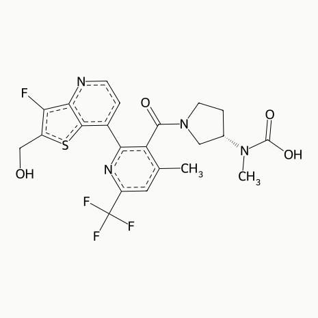 Cc1cc(C(F)(F)F)nc(-c2ccnc3c(F)c(CO)sc23)c1C(=O)N1CC[C@H](N(C)C(=O)O)C1